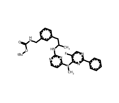 CC(Cc1cccc(CNC(=O)OC(C)(C)C)c1)Nc1nccc(N(C)c2nc(-c3ccccc3)ncc2F)n1